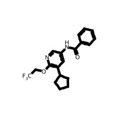 O=C(Nc1cnc(OCC(F)(F)F)c(C2CCCC2)c1)c1ccccc1